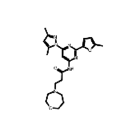 Cc1cc(C)n(-c2cc(NC(=O)CCN3CCCOCC3)nc(-c3ccc(C)o3)n2)n1